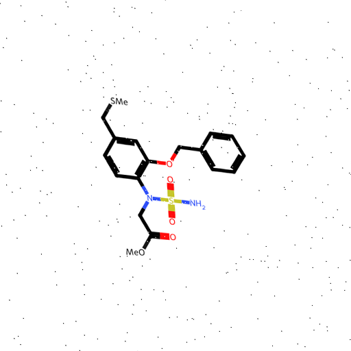 COC(=O)CN(c1ccc(CSC)cc1OCc1ccccc1)S(N)(=O)=O